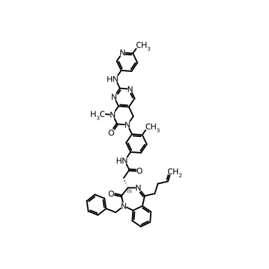 C=CCCC1=N[C@@H](CC(=O)Nc2ccc(C)c(N3Cc4cnc(Nc5ccc(C)nc5)nc4N(C)C3=O)c2)C(=O)N(Cc2ccccc2)c2ccccc21